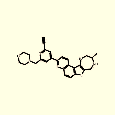 C#Cc1cc(-c2ccc3c(ccc4sc5c(c43)NC[C@@H](C)NC5)n2)cc(CN2CCOCC2)n1